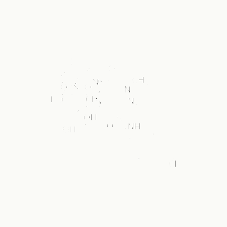 Cn1nc(C(=O)NCc2ccc(Cl)cc2)c2c1C(=O)N(CC1(S(=O)(=O)C(C)(C)C(O)CO)CC1)CC2